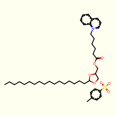 CCCCCCCCCCCCCCCCCC1OCC(COC(=O)CCCCC[n+]2cccc3ccccc32)O1.Cc1ccc(S(=O)(=O)[O-])cc1